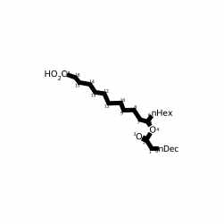 CCCCCCCCCCCC(=O)OC(CCCCCC)CCCCCCCCCCC(=O)O